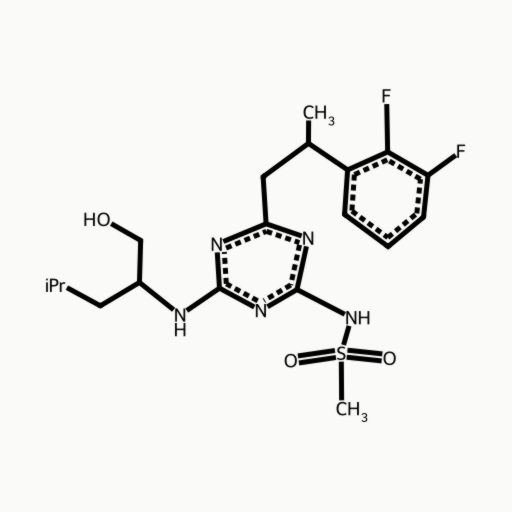 CC(C)CC(CO)Nc1nc(CC(C)c2cccc(F)c2F)nc(NS(C)(=O)=O)n1